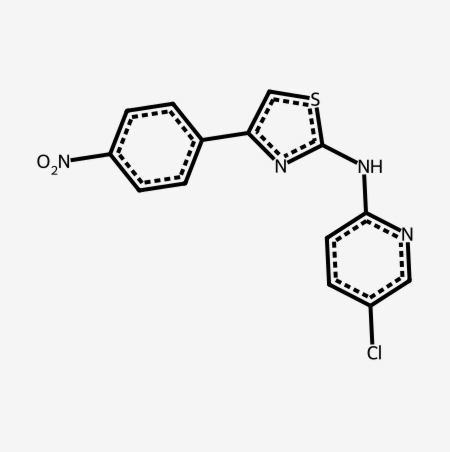 O=[N+]([O-])c1ccc(-c2csc(Nc3ccc(Cl)cn3)n2)cc1